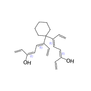 C=C/C(O)=C\C=C(/C=C)C1(/C(C=C)=C/C=C(/O)C=C)CCCCC1